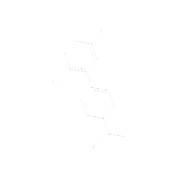 CC(C)C(C)c1ccc(-c2cc(F)ccc2O)cc1